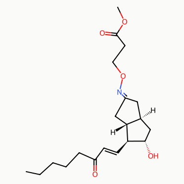 CCCCCC(=O)C=C[C@H]1[C@@H]2C/C(=N/OCCC(=O)OC)C[C@H]2C[C@@H]1O